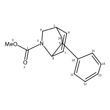 COC(=O)N1CC2C=CC1C(c1ccccc1)C2